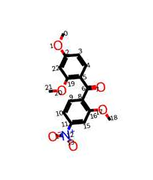 COc1ccc(C(=O)c2ccc([N+](=O)[O-])cc2OC)c(OC)c1